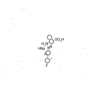 Cc1cc(F)ccc1-c1ccc(N=Nc2cc(S(=O)(=O)O)c3ccccc3c2N)cn1.[NaH]